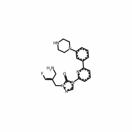 NC/C(=C\F)Cn1ncn(-c2cccc(-c3cccc(N4CCNCC4)c3)n2)c1=O